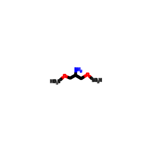 NC(COS(=O)(=O)O)COS(=O)(=O)O